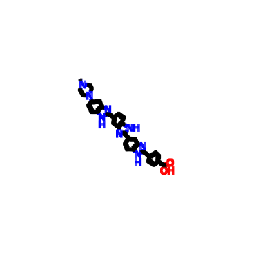 CN1CCN(c2ccc3[nH]c(-c4ccc5[nH]c(-c6ccc7[nH]c(-c8ccc(C(=O)O)cc8)nc7c6)nc5c4)nc3c2)CC1